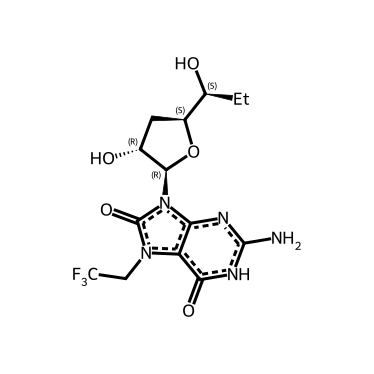 CC[C@H](O)[C@@H]1C[C@@H](O)[C@H](n2c(=O)n(CC(F)(F)F)c3c(=O)[nH]c(N)nc32)O1